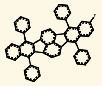 Fc1ccc2c(-c3ccccc3)c3c(c(-c4ccccc4)c2c1)-c1ccc2c4c(ccc-3c14)-c1c-2c(-c2ccccc2)c2ccccc2c1-c1ccccc1